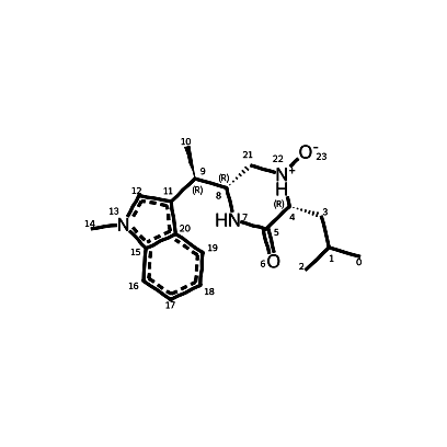 CC(C)C[C@@H]1C(=O)N[C@H]([C@H](C)c2cn(C)c3ccccc23)C[NH+]1[O-]